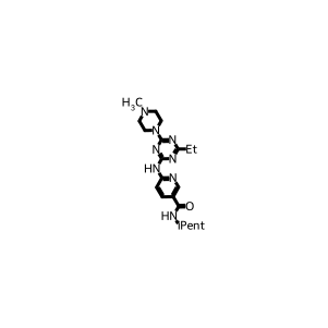 CCCC(C)NC(=O)c1ccc(Nc2nc(CC)nc(N3CCN(C)CC3)n2)nc1